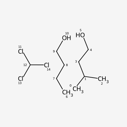 CC(C)CCO.CCCCO.ClC(Cl)Cl